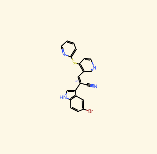 N#C/C(=C\c1cnccc1Sc1ccccn1)c1c[nH]c2ccc(Br)cc12